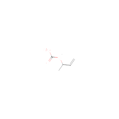 C=CC(C)OC(=O)O